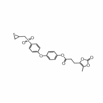 Cc1oc(=O)oc1CCC(=O)Oc1ccc(Oc2ccc(S(=O)(=O)CC3CS3)cc2)cc1